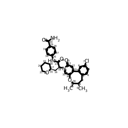 C[C@@H]1Cc2ccc(Cl)cc2-c2cc(=O)n([C@@H](C[C@@H]3CCCCO3)C(=O)Nc3ccc(C(N)=O)cc3)cc2O[C@@H]1C